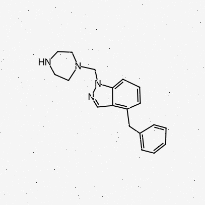 c1ccc(Cc2cccc3c2cnn3CN2CCNCC2)cc1